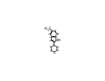 Cc1cnc2[nH]c(C3CCCCC3)cc2c1